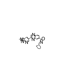 CN(CC1CCCC1)C(=O)c1ccc2ncc(-c3cnc4nn(C)cc4c3)nc2c1